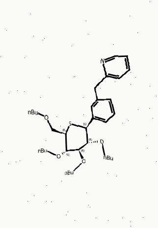 CCCCOC[C@H]1S[C@@H](c2cccc(Cc3ccccn3)c2)[C@H](OCCCC)[C@@H](OCCCC)[C@@H]1OCCCC